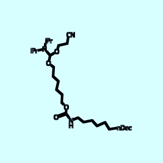 CCCCCCCCCCCCCCCCNC(=O)OCCCCCCOC(OCCC#N)N(C(C)C)C(C)C